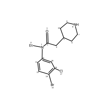 CCN(C(=O)CC1CCNCC1)c1ccc(Br)c(Cl)c1